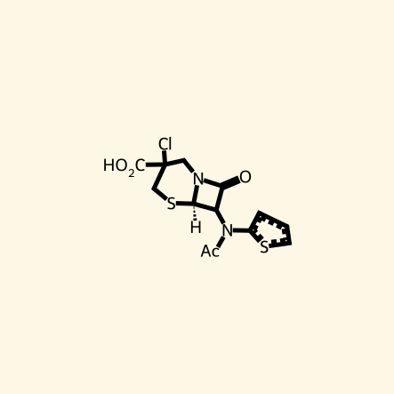 CC(=O)N(c1cccs1)C1C(=O)N2CC(Cl)(C(=O)O)CS[C@H]12